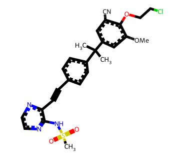 COc1cc(C(C)(C)c2ccc(C#Cc3nccnc3NS(C)(=O)=O)cc2)cc(C#N)c1OCCCl